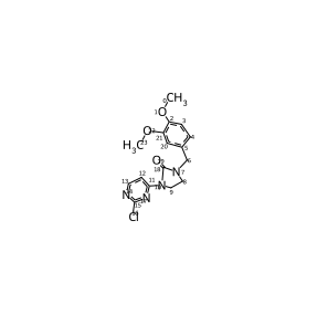 COc1ccc(CN2CCN(c3ccnc(Cl)n3)C2=O)cc1OC